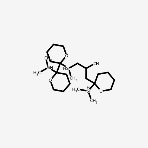 C[SiH](C)C1(CC(C#N)C[SiH](C)C2(C3([SiH](C)C)CCCCO3)CCCCO2)CCCCO1